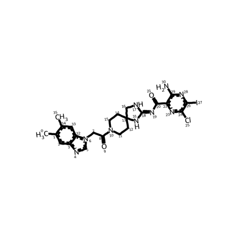 Cc1cc2ncn(CC(=O)N3CCC4(CC3)CN/C(=N\C(=O)c3nc(Cl)c(I)nc3N)N4)c2cc1C